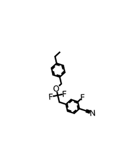 CCc1ccc(COC(F)(F)Cc2ccc(C#N)c(F)c2)cc1